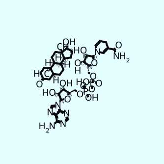 C[C@]12CCC(=O)C[C@@H]1CC[C@@H]1[C@@H]2CC[C@]2(C)[C@@H](O)CC[C@@H]12.NC(=O)C1=CN([C@@H]2O[C@H](COP(=O)(O)OP(=O)(O)OC[C@H]3O[C@@H](n4cnc5c(N)ncnc54)[C@H](O)[C@@H]3O)[C@@H](O)[C@H]2O)C=CC1